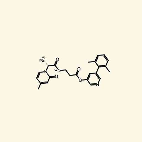 CC[C@@H](C)C(C(=O)NCCC(=O)Oc1cncc(-c2c(C)cccc2C)c1)n1ccc(C)cc1=O